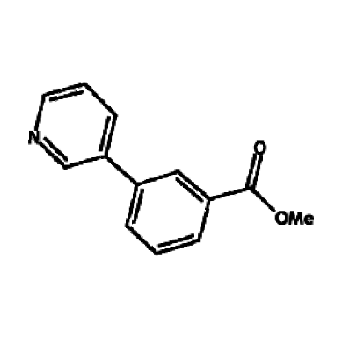 COC(=O)c1cccc(-c2cccnc2)c1